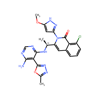 COc1cc(-n2c([C@H](C)Nc3ncnc(N)c3-c3nnc(C)o3)cc3cccc(Cl)c3c2=O)n[nH]1